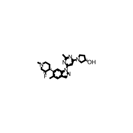 Cc1nc(N2CC[C@@H](O)C2)cc(-n2ncc3cc(C)c([C@@H]4CCN(C)C[C@@H]4F)cc32)n1